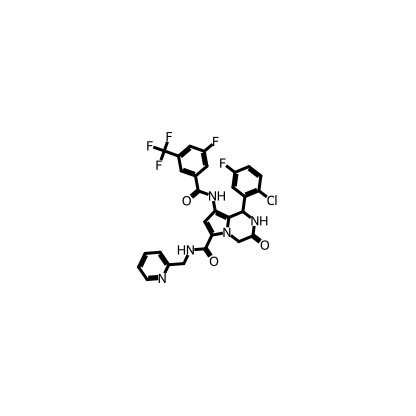 O=C1Cn2c(C(=O)NCc3ccccn3)cc(NC(=O)c3cc(F)cc(C(F)(F)F)c3)c2C(c2cc(F)ccc2Cl)N1